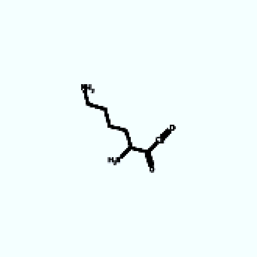 NCCCCC(N)[C](=O)[Cu]=[O]